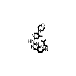 Cc1cc(Nc2ncc3ccc4ncc(C(C)C)n4c3n2)ncc1N1CCOCC1